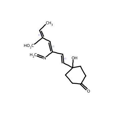 C=NC(=C\C(=C/C)C(=O)O)/C=C/C1(O)CCC(=O)CC1